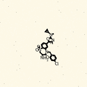 CN(c1nnc(-c2ccc3c(c2)N(Cc2ccc(Cl)cc2)C(=O)[C@@H](N)CS3(=O)=O)o1)C1CC1